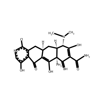 B=C1C(C(N)=O)=C(O)[C@@H](N(C)C)[C@@H]2C[C@@H]3Cc4c(Cl)ncc(O)c4C(=O)C3=C(O)[C@]12P